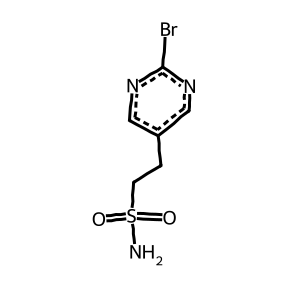 NS(=O)(=O)CCc1cnc(Br)nc1